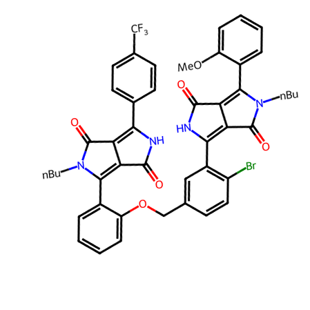 CCCCN1C(=O)C2=C(c3ccc(C(F)(F)F)cc3)NC(=O)C2=C1c1ccccc1OCc1ccc(Br)c(C2=C3C(=O)N(CCCC)C(c4ccccc4OC)=C3C(=O)N2)c1